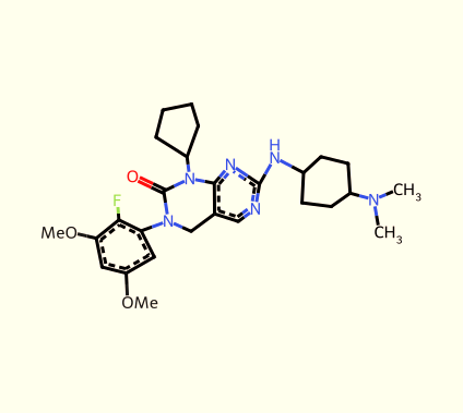 COc1cc(OC)c(F)c(N2Cc3cnc(NC4CCC(N(C)C)CC4)nc3N(C3CCCC3)C2=O)c1